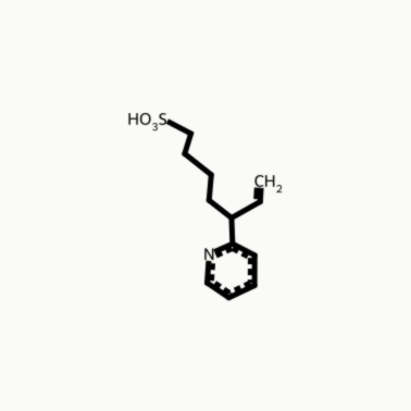 C=CC(CCCCS(=O)(=O)O)c1ccccn1